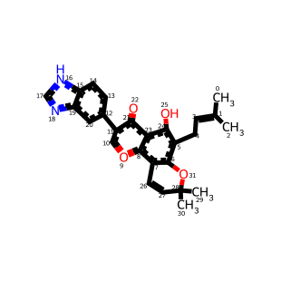 CC(C)=CCc1c2c(c3occ(-c4ccc5[nH]cnc5c4)c(=O)c3c1O)C=CC(C)(C)O2